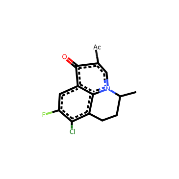 CC(=O)c1cn2c3c(c(Cl)c(F)cc3c1=O)CCC2C